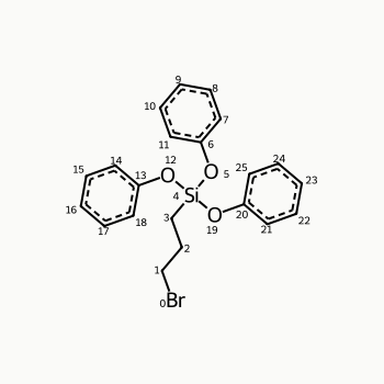 BrCCC[Si](Oc1ccccc1)(Oc1ccccc1)Oc1ccccc1